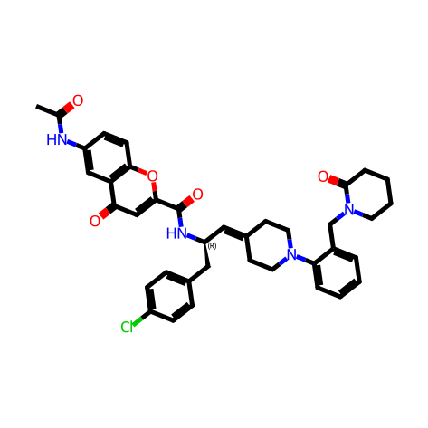 CC(=O)Nc1ccc2oc(C(=O)N[C@@H](C=C3CCN(c4ccccc4CN4CCCCC4=O)CC3)Cc3ccc(Cl)cc3)cc(=O)c2c1